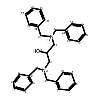 OC(CN(Cc1ccccc1)Cc1ccccc1)CN(Cc1ccccc1)Cc1ccccc1